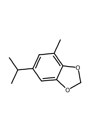 Cc1cc(C(C)C)cc2c1OCO2